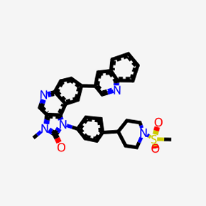 Cn1c(=O)n(-c2ccc(C3CCN(S(C)(=O)=O)CC3)cc2)c2c3cc(-c4cnc5ccccc5c4)ccc3ncc21